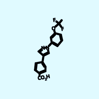 CC(F)(F)Oc1cccc(-n2cc(-c3ccc(C(=O)O)cc3)cn2)c1